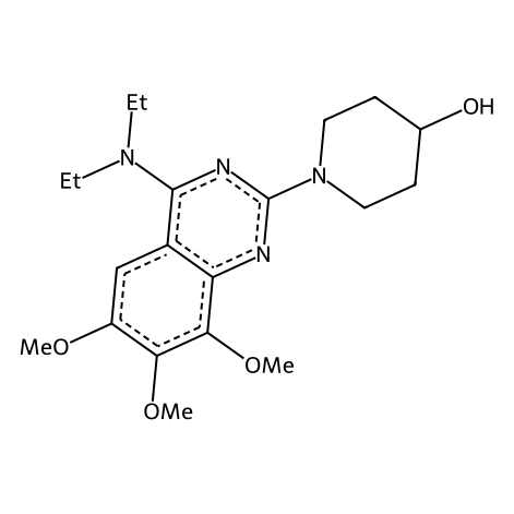 CCN(CC)c1nc(N2CCC(O)CC2)nc2c(OC)c(OC)c(OC)cc12